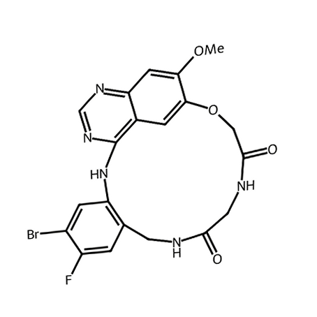 COc1cc2ncnc3c2cc1OCC(=O)NCC(=O)NCc1cc(F)c(Br)cc1N3